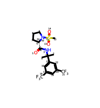 CC(C)(NC(=O)[C@@H]1CCCN1S(C)(=O)=O)c1cc(C(F)(F)F)cc(C(F)(F)F)c1